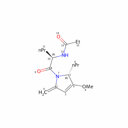 C=C1C=C(OC)[C@@H](CCC)N1C(=O)[C@@H](CCC)NC(=O)CC